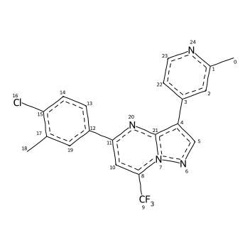 Cc1cc(-c2cnn3c(C(F)(F)F)cc(-c4ccc(Cl)c(C)c4)nc23)ccn1